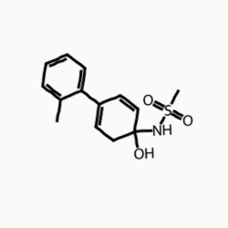 Cc1ccccc1C1=CCC(O)(NS(C)(=O)=O)C=C1